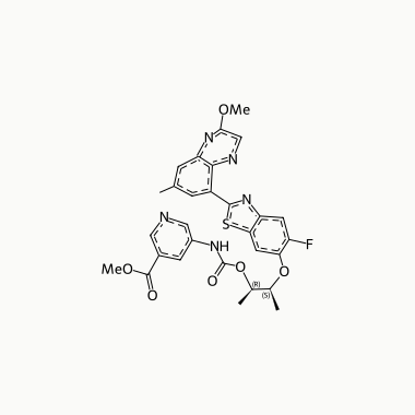 COC(=O)c1cncc(NC(=O)O[C@H](C)[C@H](C)Oc2cc3sc(-c4cc(C)cc5nc(OC)cnc45)nc3cc2F)c1